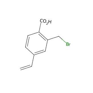 C=Cc1ccc(C(=O)O)c(CBr)c1